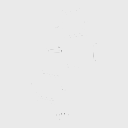 COc1cccc(C2CCCc3ccccc3C2=O)c1